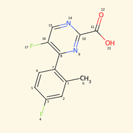 Cc1cc(F)ccc1-c1nc(C(=O)O)ncc1F